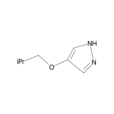 CC(C)COc1cn[nH]c1